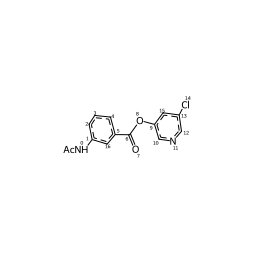 CC(=O)Nc1cccc(C(=O)Oc2cncc(Cl)c2)c1